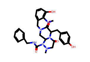 CN(C)c1c(O)cccc1CN1CC2N(C(=O)CN(C)N2C(=O)NCc2ccccc2)C(Cc2ccc(O)cc2)C1=O